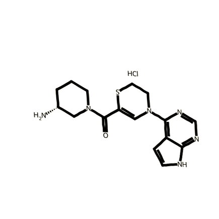 Cl.N[C@@H]1CCCN(C(=O)C2=CN(c3ncnc4[nH]ccc34)CCS2)C1